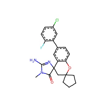 CN1C(=O)C2(CC3(CCCC3)Oc3ccc(-c4cc(Cl)ccc4F)cc32)N=C1N